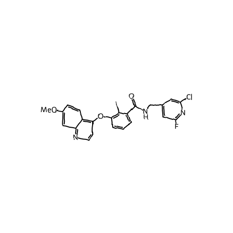 COc1ccc2c(Oc3cccc(C(=O)NCc4cc(F)nc(Cl)c4)c3C)ccnc2c1